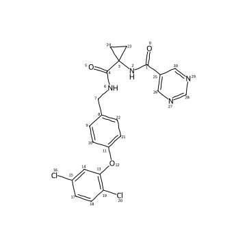 O=C(NC1(C(=O)NCc2ccc(Oc3cc(Cl)ccc3Cl)cc2)CC1)c1cncnc1